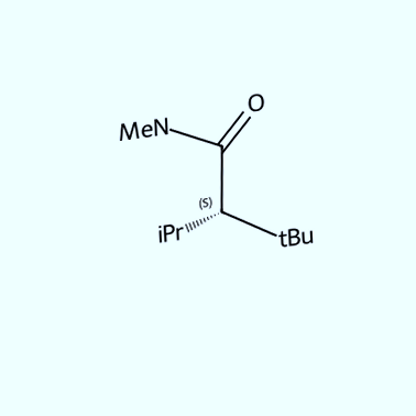 CNC(=O)[C@@H](C(C)C)C(C)(C)C